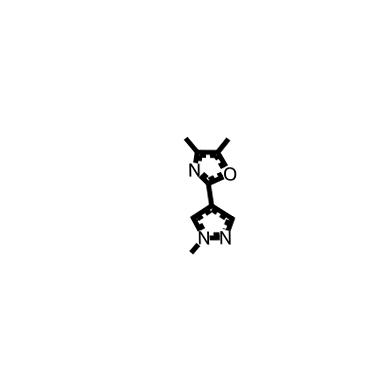 Cc1nc(-c2cnn(C)c2)oc1C